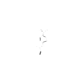 C#CC(I)Oc1ccc([N+](=O)[O-])cc1